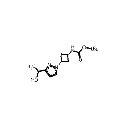 CC(O)c1ccn([C@H]2C[C@H](NC(=O)OC(C)(C)C)C2)n1